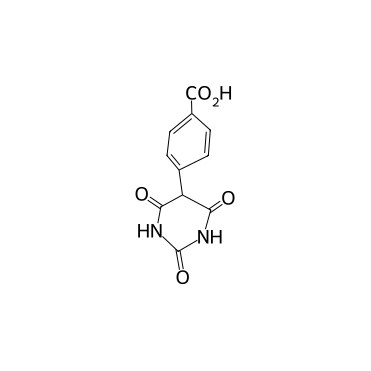 O=C1NC(=O)C(c2ccc(C(=O)O)cc2)C(=O)N1